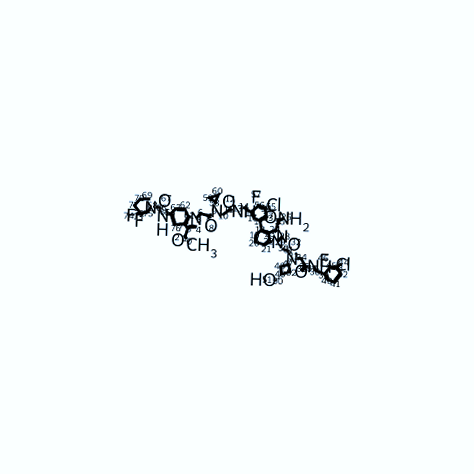 CC(=O)c1cn(CC(=O)N(CC(=O)NCc2cc(-c3cccc4c3c(C(N)=O)nn4CC(=O)N(CC(=O)NCc3cccc(Cl)c3F)[C@H]3C[C@@H](CO)C3)cc(Cl)c2F)C2CC2)c2ccc(NC(=O)N3CCCC(F)(F)C3)cc12